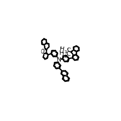 CC1(C)c2ccccc2-c2cccc(-c3ccc(N(c4cccc(-c5ccc6ccccc6c5)c4)c4cccc(-c5cccc6oc7c8ccccc8ccc7c56)c4)cc3)c21